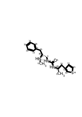 CN[C@@H](CNC(=O)N[C@H](C)Cc1ccsc1)Cc1ccccc1